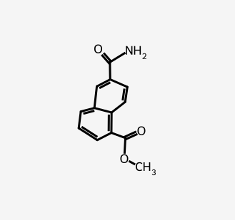 COC(=O)c1cccc2cc(C(N)=O)ccc12